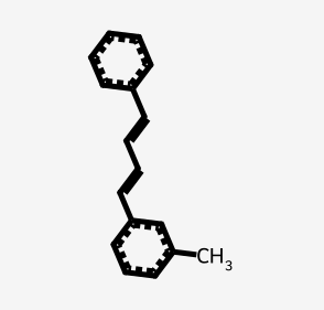 Cc1cccc(C=CC=Cc2ccccc2)c1